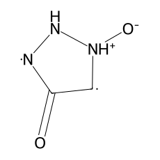 O=C1[CH][NH+]([O-])N[N]1